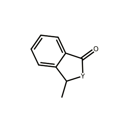 C[CH]1[Y][C](=O)c2ccccc21